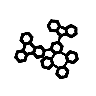 c1ccc2c(c1)-c1ccccc1-c1cc(-n3c4ccccc4c4ccccc43)cc(-c3ccc4c5ccccc5c5ccccc5c4c3)c1-c1ccccc1-2